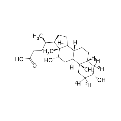 [2H]C1([2H])C[C@@]2(C)[C@H](CC[C@@H]3[C@@H]2C[C@H](O)[C@]2(C)[C@@H]([C@H](C)CCC(=O)O)CC[C@@H]32)C([2H])([2H])[C@@H]1O